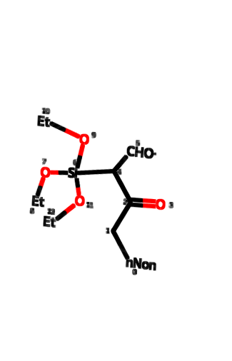 CCCCCCCCCCC(=O)C([C]=O)[Si](OCC)(OCC)OCC